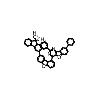 CC1(C)c2ccccc2-c2cc(-c3ccc4oc5cccc(-c6nc(-c7ccccc7)nc7c6oc6ccc(-c8ccccc8)cc67)c5c4c3)ccc21